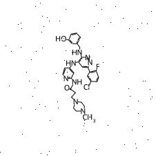 CN1CCN(CCC(=O)Nc2cc(Nc3cc(-c4cc(Cl)ccc4F)nnc3NCc3cccc(O)c3)ccn2)CC1